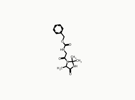 CC1C(=O)NC(C)(C)N1C(=O)CNC(=O)OCc1ccccc1